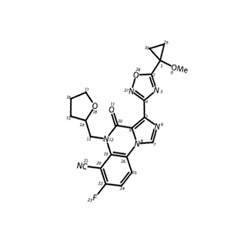 COC1(c2nc(-c3ncn4c3c(=O)n(CC3CCCO3)c3c(C#N)c(F)ccc34)no2)CC1